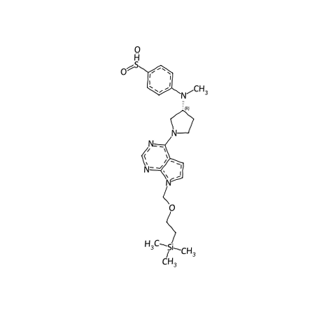 CN(c1ccc([SH](=O)=O)cc1)[C@@H]1CCN(c2ncnc3c2ccn3COCC[Si](C)(C)C)C1